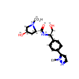 CCn1nccc1-c1ccc([C@H](CO)NC(=O)[C@@H]2C[C@@H](O)CN2C(=O)O)cc1